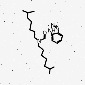 CC(C)CCCCCN(C=O)CCCCCC(C)C.c1ccc2[nH]nnc2c1